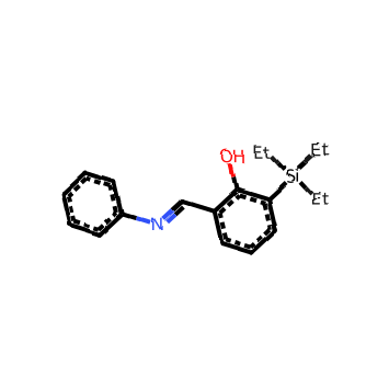 CC[Si](CC)(CC)c1cccc(/C=N/c2ccccc2)c1O